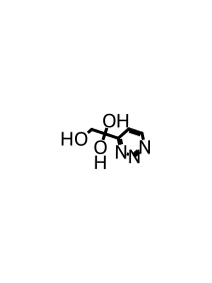 OCC(O)(O)c1ccnnn1